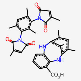 CC1=CC(=O)N(c2c(C)cc(C)c(N3C(=O)C=C(C)C3=O)c2C)C1=O.Cc1cc(C)c2c(C)c1Nc1cccc(C(=O)O)c1N2